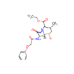 CC1=C(C(=O)OCC(Cl)(Cl)Cl)N2C(=O)C(NC(=O)COc3ccccc3)[C@H]2[S+]([O-])C1